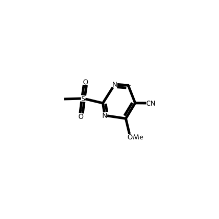 COc1nc(S(C)(=O)=O)n[c]c1C#N